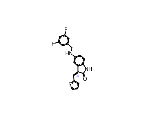 O=C1Nc2ccc(NCc3cc(F)cc(F)c3)cc2/C1=C/c1cccs1